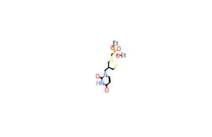 CCOP(=O)(CSCC(CF)Cn1ccc(=O)[nH]c1=O)OCC